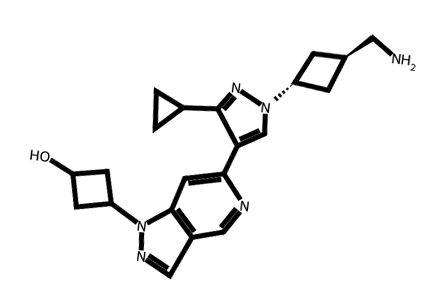 NC[C@H]1C[C@H](n2cc(-c3cc4c(cn3)cnn4C3CC(O)C3)c(C3CC3)n2)C1